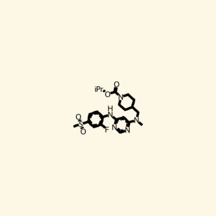 CC(C)OC(=O)N1CCC(CN(C)c2cc(Nc3ccc(S(C)(=O)=O)cc3F)ncn2)CC1